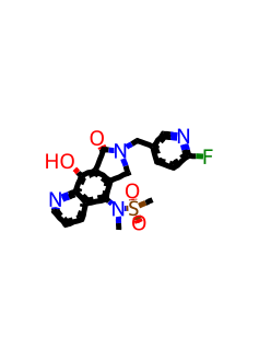 CN(c1c2c(c(O)c3ncccc13)C(=O)N(Cc1ccc(F)nc1)C2)S(C)(=O)=O